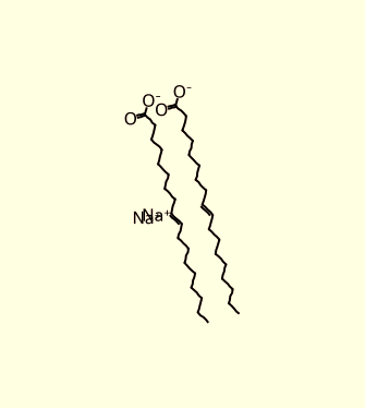 CCCCCCCCC=CCCCCCCCC(=O)[O-].CCCCCCCCC=CCCCCCCCC(=O)[O-].[Na+].[Na+]